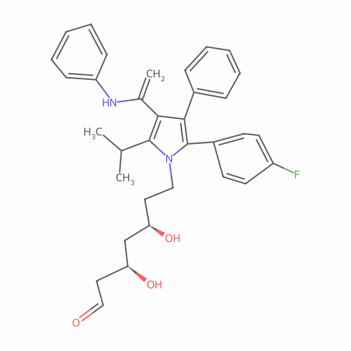 C=C(Nc1ccccc1)c1c(-c2ccccc2)c(-c2ccc(F)cc2)n(CC[C@@H](O)C[C@@H](O)CC=O)c1C(C)C